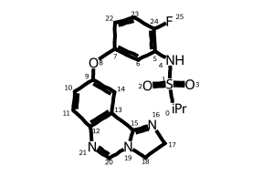 CC(C)S(=O)(=O)Nc1cc(Oc2ccc3c(c2)C2=NCCN2C=N3)ccc1F